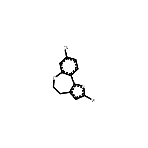 N#Cc1ccc2c(c1)OCCc1cc(Br)sc1-2